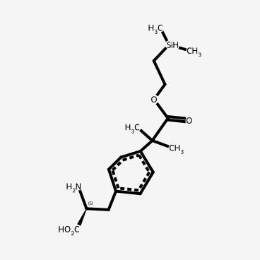 C[SiH](C)CCOC(=O)C(C)(C)c1ccc(C[C@H](N)C(=O)O)cc1